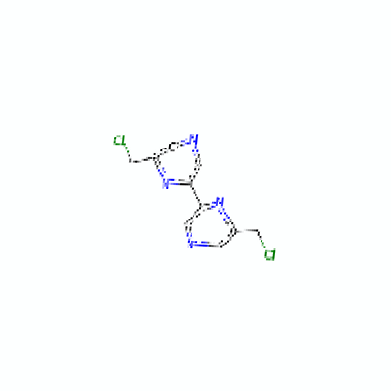 ClCc1cncc(-c2cncc(CCl)n2)n1